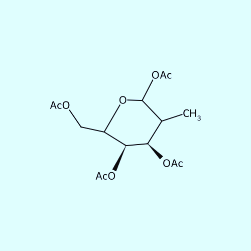 CC(=O)OCC1OC(OC(C)=O)C(C)[C@@H](OC(C)=O)[C@H]1OC(C)=O